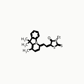 CCN1C(=O)/C(=C\C=C2/C=CC(C)=C3N2c2ccccc2C3(C)C)SC1=S